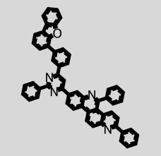 c1ccc(-c2ccc3c(ccc4c5ccc(-c6cc(-c7cccc(-c8cccc9c8oc8ccccc89)c7)nc(-c7ccccc7)n6)cc5nc(-c5ccccc5)c34)n2)cc1